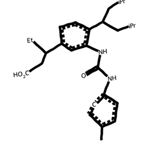 CCC(CC(=O)O)c1ccc(C(CC(C)C)CC(C)C)c(NC(=O)Nc2ccc(C)cc2)c1